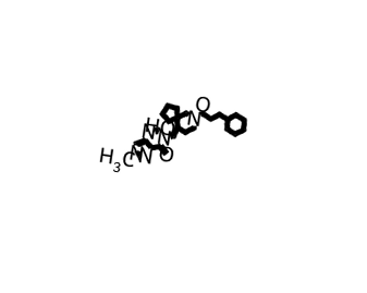 Cn1cc2ncn(CC3(O)CCN(C(=O)CCC4CCCCC4)CC34CCCC4)c(=O)c2n1